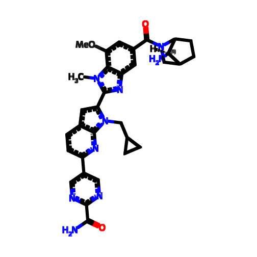 COc1cc(C(=O)N2CC3CCC2[C@@H]3N)cc2nc(-c3cc4ccc(-c5cnc(C(N)=O)nc5)nc4n3CC3CC3)n(C)c12